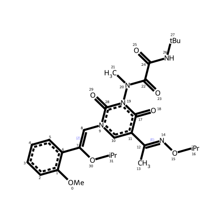 COc1ccccc1/C(=C/n1cc(/C(C)=N/OC(C)C)c(=O)n(N(C)C(=O)C(=O)NC(C)(C)C)c1=O)OC(C)C